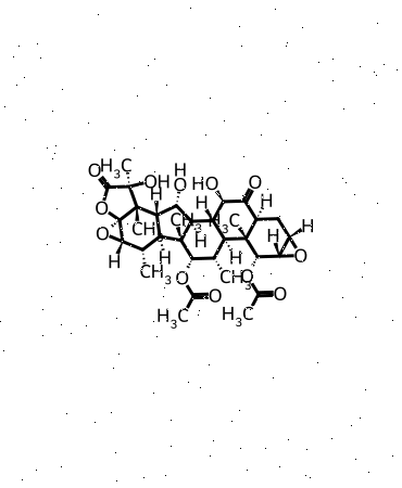 CC(=O)O[C@H]1[C@@H](C)[C@H]2[C@H]([C@@H]3[C@@H](O)[C@@H]4[C@H]([C@H](C)[C@@H]5O[C@@]56OC(=O)[C@@](C)(O)[C@]46C)[C@]31C)[C@@H](O)C(=O)[C@H]1C[C@@H]3O[C@@H]3[C@H](OC(C)=O)[C@]21C